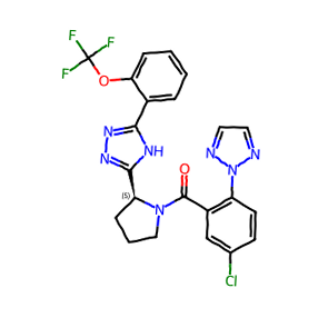 O=C(c1cc(Cl)ccc1-n1nccn1)N1CCC[C@H]1c1nnc(-c2ccccc2OC(F)(F)F)[nH]1